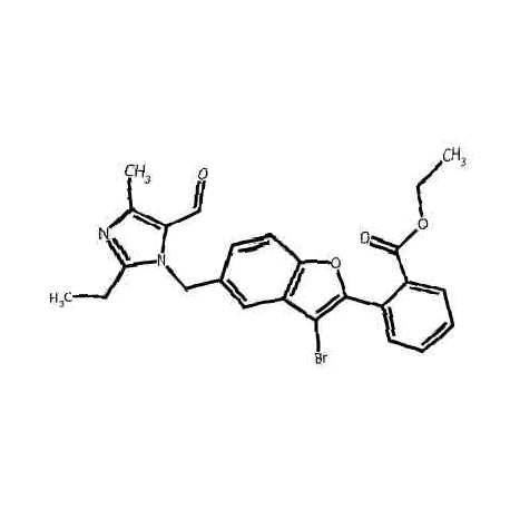 CCOC(=O)c1ccccc1-c1oc2ccc(Cn3c(CC)nc(C)c3C=O)cc2c1Br